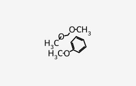 COCOC.COc1ccccc1